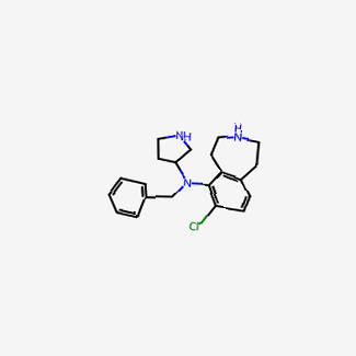 Clc1ccc2c(c1N(Cc1ccccc1)C1CCNC1)CCNCC2